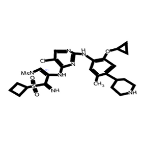 CN/C=C(/Nc1nc(Nc2cc(C)c(C3CCNCC3)cc2OC2CC2)ncc1Cl)C(=N)S(=O)(=O)C1CCC1